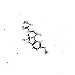 CC(C)Cc1ccc2c(n1)N1[C@H](C2)CN(C(=O)OC(C)(C)C)C[C@H]1C